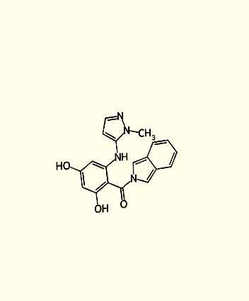 Cn1nccc1Nc1cc(O)cc(O)c1C(=O)n1cc2ccccc2c1